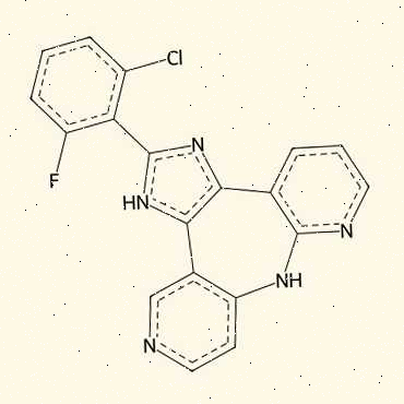 Fc1cccc(Cl)c1-c1nc2c([nH]1)-c1cnccc1Nc1ncccc1-2